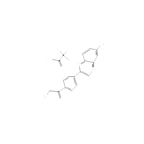 NCC(=O)c1ccc(-c2cnc3cc(Br)ccc3n2)cc1.O=C(O)C(F)(F)F